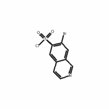 O=S(=O)(Cl)c1cc2ccncc2cc1Br